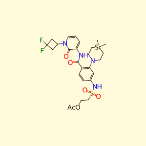 CC(=O)OCCS(=O)(=O)Nc1ccc(C(=O)Nc2cccn(C3CC(F)(F)C3)c2=O)c(N2CC[Si](C)(C)CC2)c1